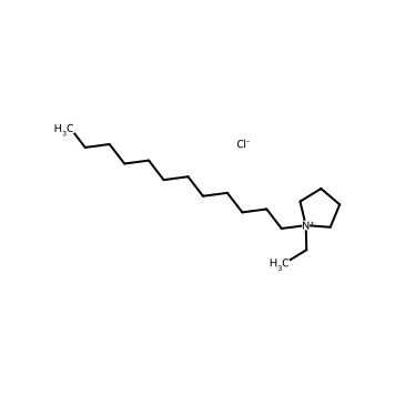 CCCCCCCCCCCC[N+]1(CC)CCCC1.[Cl-]